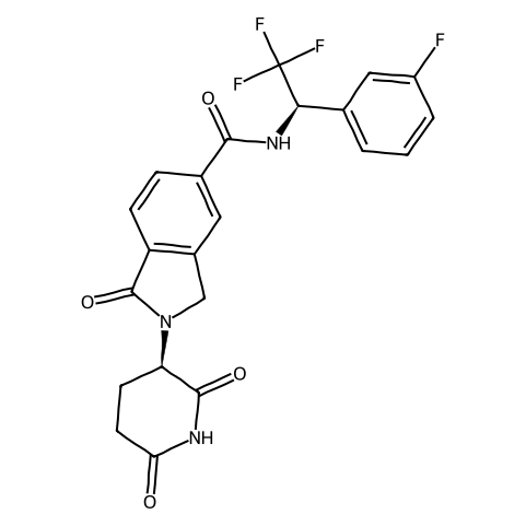 O=C1CC[C@@H](N2Cc3cc(C(=O)N[C@H](c4cccc(F)c4)C(F)(F)F)ccc3C2=O)C(=O)N1